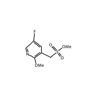 COc1ncc(F)cc1CS(=O)(=O)OC